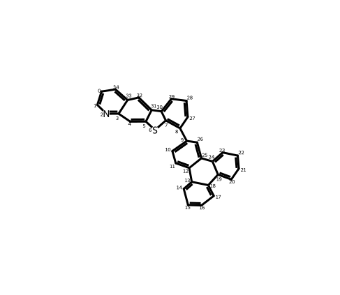 c1cnc2cc3sc4c(-c5ccc6c7ccccc7c7ccccc7c6c5)cccc4c3cc2c1